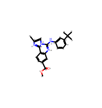 COC(=O)c1ccc2c(c1)nc(Nc1cccc(C(C)(C)C)c1)n1cc(C)nc21